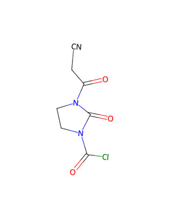 N#CCC(=O)N1CCN(C(=O)Cl)C1=O